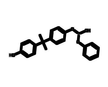 CC(C)(c1ccc(O)cc1)c1ccc(OP(O)Oc2ccccc2)cc1